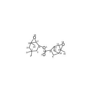 CC1(C)CC(OC(=O)C2CC3CC2C2OC32C)C2OC2(C)C1